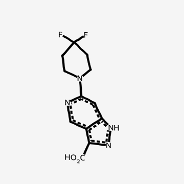 O=C(O)c1n[nH]c2cc(N3CCC(F)(F)CC3)ncc12